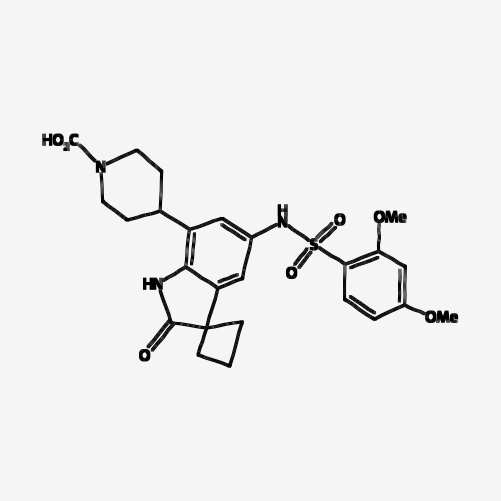 COc1ccc(S(=O)(=O)Nc2cc(C3CCN(C(=O)O)CC3)c3c(c2)C2(CCC2)C(=O)N3)c(OC)c1